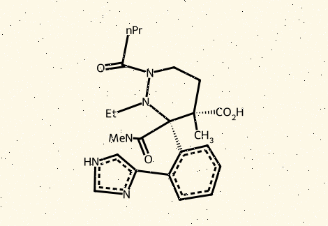 CCCC(=O)N1CC[C@](C)(C(=O)O)[C@](C(=O)NC)(c2ccccc2-c2c[nH]cn2)N1CC